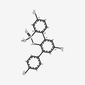 O=P1(O)Oc2c(-c3ccc(Cl)cc3)cc(Cl)cc2-c2ccc(Cl)cc21